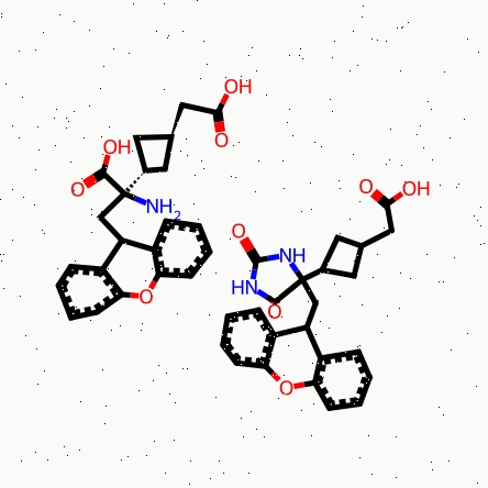 NC(CC1c2ccccc2Oc2ccccc21)(C(=O)O)[C@H]1C[C@H](CC(=O)O)C1.O=C(O)CC1CC(C2(CC3c4ccccc4Oc4ccccc43)NC(=O)NC2=O)C1